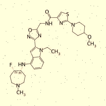 CCn1c(-c2noc(CNC(=O)c3csc(N4CCC(OC)CC4)n3)n2)cc2c(N[C@@H]3CCN(C)CC[C@@H]3F)cccc21